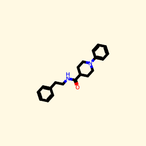 O=C(NCCc1ccccc1)C1CCN(c2ccccc2)CC1